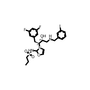 CCCS(=O)(=O)NC1OC=CN1[C@@H](Cc1cc(F)cc(F)c1)[C@H](O)CNCc1cccc(I)c1